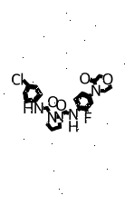 O=C1COCCN1c1ccc(NC(=O)N2CCCN2C(=O)Nc2ccc(Cl)cc2)c(F)c1